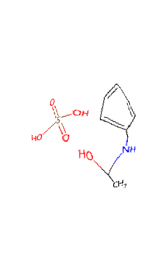 CC(O)Nc1ccccc1.O=S(=O)(O)O